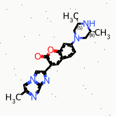 Cc1cn2cc(-c3cc4ccc(N5C[C@@H](C)N[C@@H](C)C5)cc4oc3=O)nc2cn1